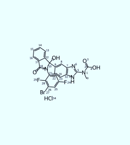 CN(C(=O)O)c1nc2cc(C3(O)c4ccccc4C(=O)N3c3cc(F)cc(Br)c3F)ccc2[nH]1.Cl